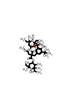 CCC1(C)CC(OC(=O)C(CC(=O)OC)(Cc2cc(C(C)(C)C)c(O)c(C(C)(C)C)c2)C(=O)OC2CC(C)(CC)N(O)C(C)(CC)C2C)C(C)C(C)(CC)N1O